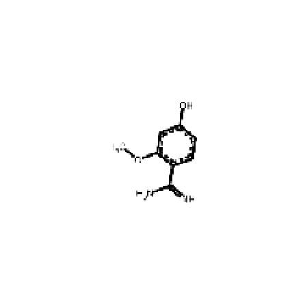 COc1cc(O)ccc1C(=N)N